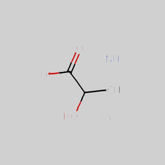 CC(O)C(=O)[O-].[NH4+].[Sn]